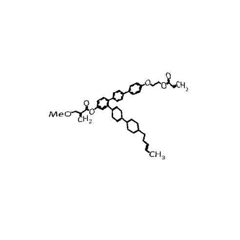 C=CC(=O)OCCOc1ccc(-c2ccc(-c3ccc(OC(=O)C(=C)COC)cc3C3CCC(C4CCC(CC/C=C/C)CC4)CC3)cc2)cc1